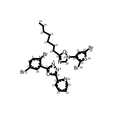 Brc1ccc(Br)c(-c2nnc(-c3ccccn3)o2)c1.CCCCCCCC1=NCN(c2cc(Br)sc2Br)O1